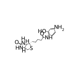 Nc1ccc(NC(=O)CCCC[C@@H]2SC[C@H]3NC(=O)N[C@@H]23)c(O)c1